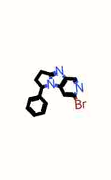 Brc1cc2c(cn1)nc1n2C(c2ccccc2)CC1